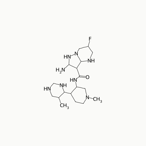 CC1CNCNC1C1CCN(C)CC1NC(=O)C1C(N)NN2CC(F)CNC12